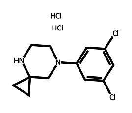 Cl.Cl.Clc1cc(Cl)cc(N2CCNC3(CC3)C2)c1